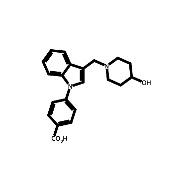 O=C(O)c1ccc(-n2cc(CN3CCC(O)CC3)c3ccccc32)cc1